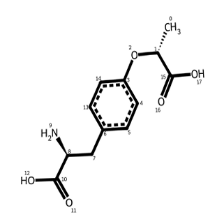 C[C@@H](Oc1ccc(C[C@H](N)C(=O)O)cc1)C(=O)O